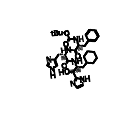 CC(C)(C)OC(=O)N[C@@H](Cc1ccccc1)C(=O)N[C@@H](Cc1c[nH]cn1)C(=O)N[C@@H](CC1CCCCC1)[C@H](O)c1ncc[nH]1